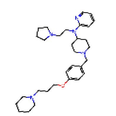 c1ccc(N(CCN2CCCC2)C2CCN(Cc3ccc(OCCCN4CCCCC4)cc3)CC2)nc1